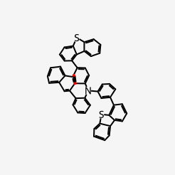 c1cc(-c2cccc3c2sc2ccccc23)cc(N(c2ccc(-c3cccc4sc5ccccc5c34)cc2)c2ccccc2-c2ccc3ccccc3c2)c1